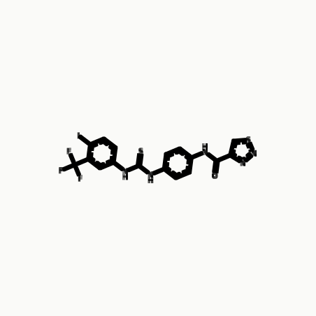 O=C(Nc1ccc(NC(=S)Nc2ccc(I)c(C(F)(F)F)c2)cc1)c1csnn1